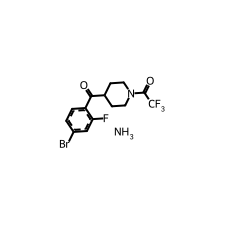 N.O=C(c1ccc(Br)cc1F)C1CCN(C(=O)C(F)(F)F)CC1